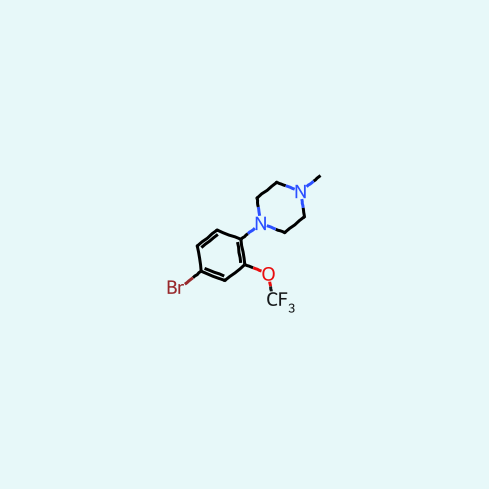 CN1CCN(c2ccc(Br)cc2OC(F)(F)F)CC1